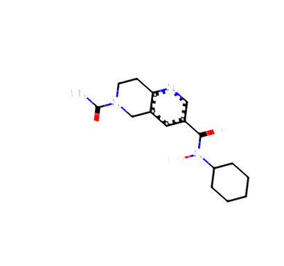 NC(=O)N1CCc2ncc(C(=O)N(O)C3CCCCC3)cc2C1